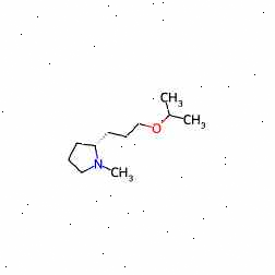 CC(C)OCCC[C@H]1CCCN1C